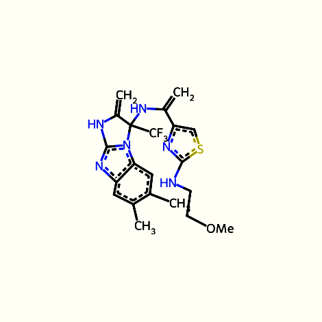 C=C(NC1(C(F)(F)F)C(=C)Nc2nc3cc(C)c(C)cc3n21)c1csc(NCCOC)n1